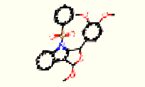 COc1ccc(C2OC(OC)c3c2n(S(=O)(=O)c2ccccc2)c2ccccc32)cc1OC